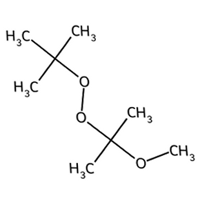 COC(C)(C)OOC(C)(C)C